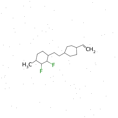 C=CC1CCC(CCC2CCC(C)C(F)C2F)CC1